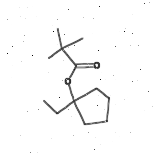 CCC1(OC(=O)C(C)(C)C)CCCC1